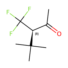 CC(=O)[C@@H](C(C)(C)C)C(F)(F)F